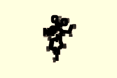 CCC(N1C=CN(C)C1)S(=O)(=O)[O-].[Na+]